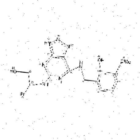 COc1cccc(CNc2nc(NC(CO)C(C)C)nc3[nH]nnc23)c1O